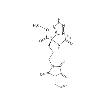 COC(=O)[C@@](CCCN1C(=O)c2ccccc2C1=O)(NC(C)=O)c1nn[nH]n1